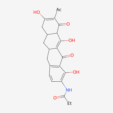 CCC(=O)Nc1ccc2c(c1O)C(=O)C1=C(O)C3C(=O)C(C(C)=O)=C(O)CC3CC1C2